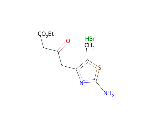 Br.CCOC(=O)CC(=O)Cc1nc(N)sc1C